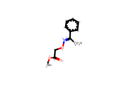 CC(C)(C)OC(=O)CO/N=C(\C(=O)O)c1ccccc1